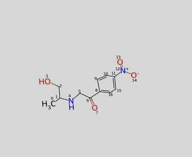 CC(CO)NCC(=O)c1ccc([N+](=O)[O-])cc1